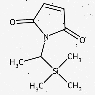 CC(N1C(=O)C=CC1=O)[Si](C)(C)C